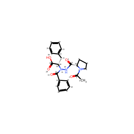 CC(=O)N1CCC[C@H]1C(=O)NN(C(=O)c1ccccc1)[C@@H](Cc1ccccc1)C(=O)O